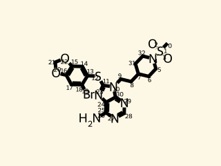 CS(=O)(=O)N1CCC(CCn2c(Sc3cc4c(cc3Br)OCO4)nc3c(N)ncnc32)CC1